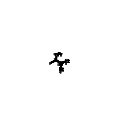 CCCC(C)N(CC)CC